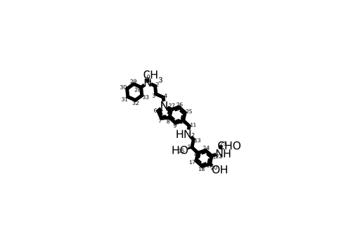 CN(CCCn1ccc2cc(CNC[C@H](O)c3ccc(O)c(NC=O)c3)ccc21)C1CC[CH]CC1